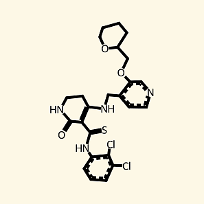 O=C1NCCC(NCc2ccncc2OCC2CCCCO2)=C1C(=S)Nc1cccc(Cl)c1Cl